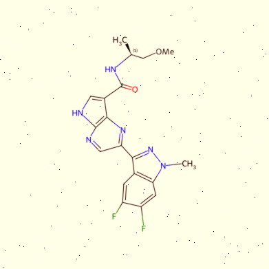 COC[C@H](C)NC(=O)c1c[nH]c2ncc(-c3nn(C)c4cc(F)c(F)cc34)nc12